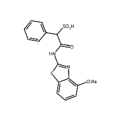 COc1cccc2sc(NC(=O)C(c3ccccc3)S(=O)(=O)O)nc12